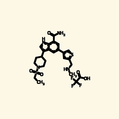 CCS(=O)(=O)N1CCC(c2c[nH]c3c(C(N)=O)cc(-c4csc(CNC)c4)cc23)CC1.O=C(O)C(F)(F)F